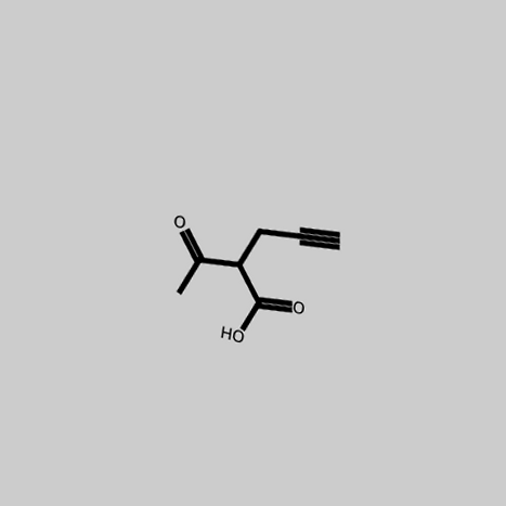 C#CCC(C(C)=O)C(=O)O